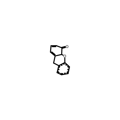 O=C1C=CC=C2Cc3ccccc3OC12